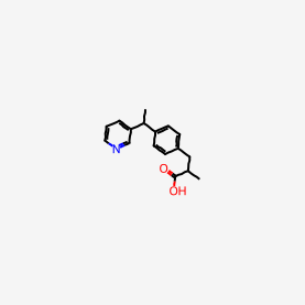 CC(Cc1ccc(C(C)c2cccnc2)cc1)C(=O)O